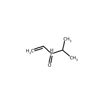 C=C[PH](=O)C(C)C